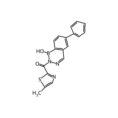 Cc1cnc(C(=O)N2N=Cc3cc(-c4ccccc4)ccc3B2O)s1